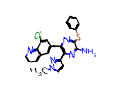 Cn1ccc(-c2nc(N)c(Sc3ccccc3)nc2-c2cc(Cl)c3ncccc3c2)n1